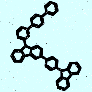 c1ccc(-c2ccc(-c3cccc(-n4c5ccccc5c5cc(-c6ccc(-n7c8ccccc8c8ccccc87)cc6)ccc54)c3)cc2)cc1